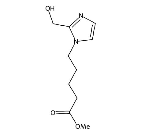 COC(=O)CCCCn1ccnc1CO